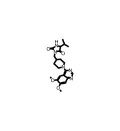 COc1cc2ncnc(N3CCC(CN4C(=O)NC(C(C)C)C4=O)CC3)c2cc1OC